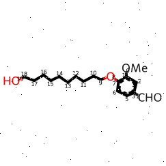 COc1cc(C=O)ccc1OCCCCCCCCCCO